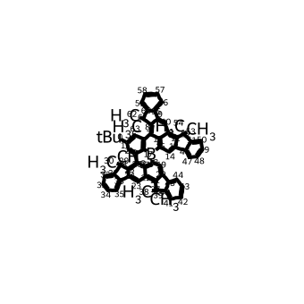 CC(C)(C)c1cc2c3c(c1)-c1c4c(cc5c6c(cc(c15)B3c1cc3c(c5cc7c(c-2c15)C(C)(C)c1ccccc1-7)C(C)(C)c1ccccc1-3)-c1ccccc1C6(C)C)-c1ccccc1C4(C)C